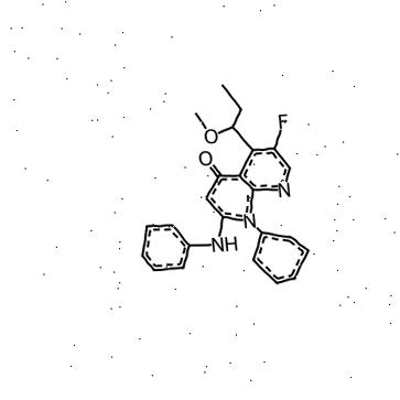 CCC(OC)c1c(F)cnc2c1c(=O)cc(Nc1ccccc1)n2-c1ccccc1